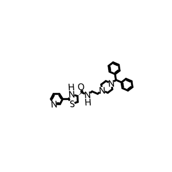 O=C(NCCN1CCN(C(c2ccccc2)c2ccccc2)CC1)[C@@H]1CSC(c2cccnc2)N1